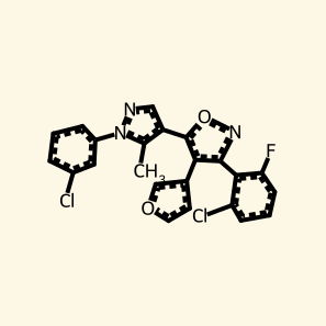 Cc1c(-c2onc(-c3c(F)cccc3Cl)c2-c2ccoc2)cnn1-c1cccc(Cl)c1